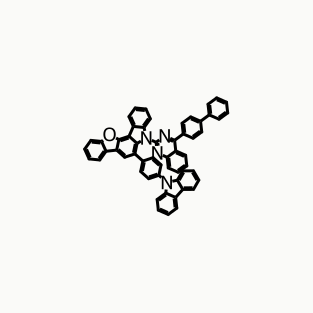 c1ccc(-c2ccc(-c3nc(-n4c5ccccc5c5c6oc7ccccc7c6cc(-c6ccc(-n7c8ccccc8c8ccccc87)cc6)c54)nc4ccccc34)cc2)cc1